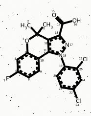 CC1(C)Oc2cc(F)ccc2-c2c1c(C(=O)O)nn2-c1ccc(Cl)cc1Cl